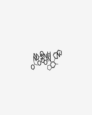 CO[C@@H]1COc2c(S(=O)(=O)NC(=O)Nc3c4c(cc(C)c3-c3ccc5cccn5c3)CCC4)cnn2C1